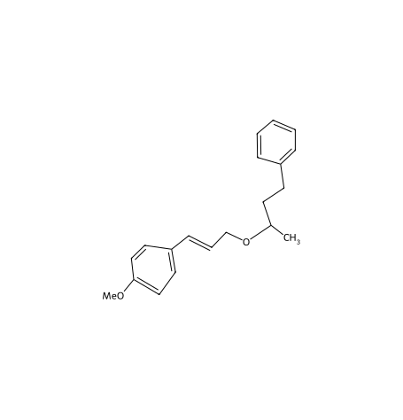 COc1ccc(C=CCOC(C)CCc2ccccc2)cc1